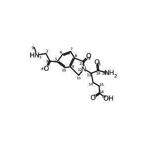 CNCC(=O)c1ccc2c(c1)CN(C(CCC(=O)O)C(N)=O)C2=O